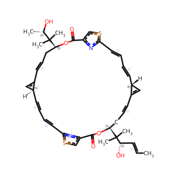 C/C=C/[C@H](O)C(C)(C)[C@@H]1C/C=C\C2=C[C@H]2/C=C/C=C\c2nc(cs2)C(=O)O[C@H](C(C)(C)[C@H](C)O)C/C=C\C2=C[C@@H]2/C=C/C=C\c2nc(cs2)C(=O)O1